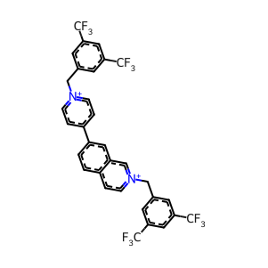 FC(F)(F)c1cc(C[n+]2ccc(-c3ccc4cc[n+](Cc5cc(C(F)(F)F)cc(C(F)(F)F)c5)cc4c3)cc2)cc(C(F)(F)F)c1